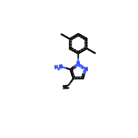 Cc1ccc(C)c(-n2ncc(C#N)c2N)c1